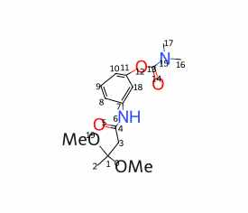 COC(C)(CC(=O)Nc1cccc(OC(=O)N(C)C)c1)OC